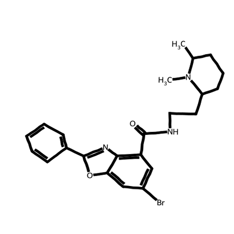 CC1CCCC(CCNC(=O)c2cc(Br)cc3oc(-c4ccccc4)nc23)N1C